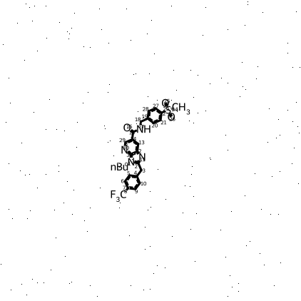 CCCCn1c(Cc2ccc(C(F)(F)F)cc2)nc2cc(C(=O)NCc3ccc(S(C)(=O)=O)cc3)cnc21